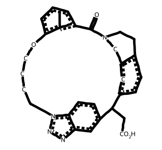 Cc1c2cccc1C(=O)N1CCc3ccc(cc3C1)C(CC(=O)O)c1ccc3c(c1)nnn3CCCCO2